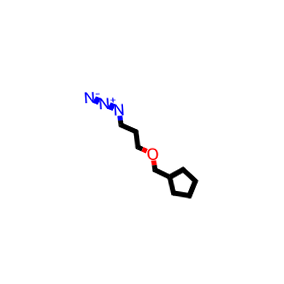 [N-]=[N+]=NCCCOCC1CCCC1